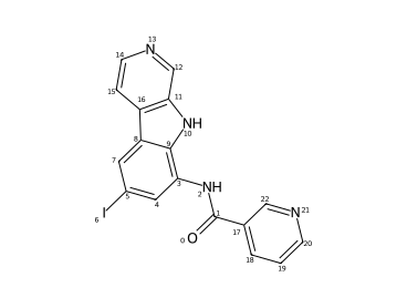 O=C(Nc1cc(I)cc2c1[nH]c1cnccc12)c1cccnc1